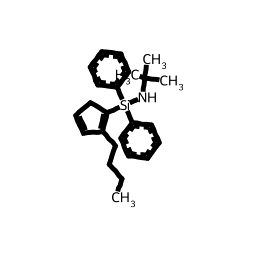 CCCCC1=C([Si](NC(C)(C)C)(c2ccccc2)c2ccccc2)CC=C1